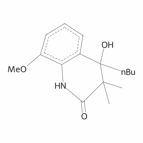 CCCCC1(O)c2cccc(OC)c2NC(=O)C1(C)C